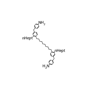 CCCCCCCc1cc(Cc2ccc(N)cc2)ccc1CCCCCCCCCCc1ccc(Cc2ccc(N)cc2)cc1CCCCCCC